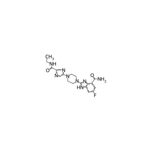 CCNC(=O)c1cnc(N2CCN(c3nc4c(C(N)=O)cc(F)cc4[nH]3)CC2)cn1